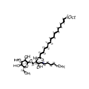 CCCCCCCCC=CCCCCCCCCCCCCCC(=O)N[C@H](COC1O[C@H](CO)[C@@H](O)[C@H](O)[C@H]1O)[C@@H](O)/C=C/CCCCCCCCCCCCC